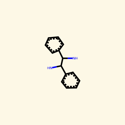 [NH]C(c1ccccc1)C([NH])c1ccccc1